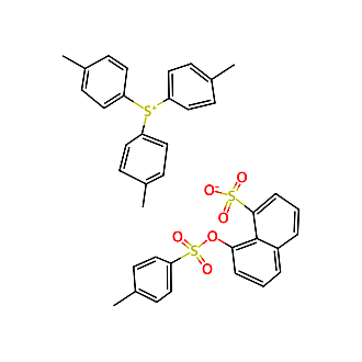 Cc1ccc(S(=O)(=O)Oc2cccc3cccc(S(=O)(=O)[O-])c23)cc1.Cc1ccc([S+](c2ccc(C)cc2)c2ccc(C)cc2)cc1